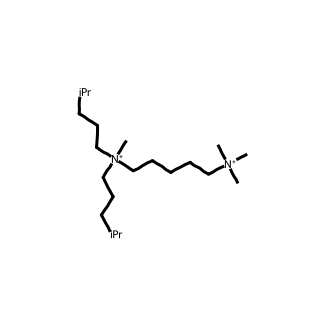 CC(C)CCC[N+](C)(CCCCC[N+](C)(C)C)CCCC(C)C